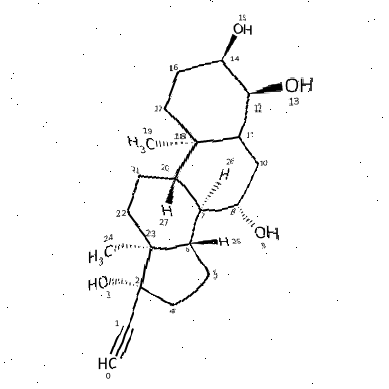 C#C[C@]1(O)CC[C@H]2[C@@H]3[C@@H](O)CC4[C@H](O)[C@H](O)CC[C@]4(C)[C@H]3CC[C@@]21C